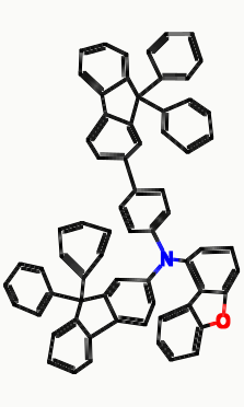 c1ccc(C2(c3ccccc3)c3ccccc3-c3ccc(-c4ccc(N(c5ccc6c(c5)C(c5ccccc5)(c5ccccc5)c5ccccc5-6)c5cccc6oc7ccccc7c56)cc4)cc32)cc1